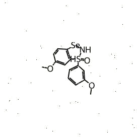 COc1cccc([SH]2(=O)N[Se]c3ccc(OC)cc32)c1